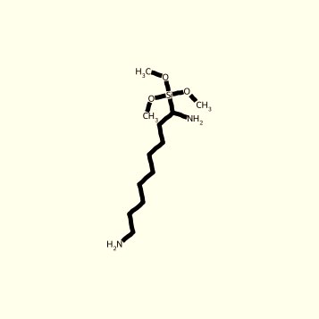 CO[Si](OC)(OC)C(N)CCCCCCCCN